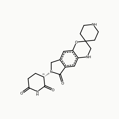 O=C1CC[C@H](N2Cc3cc4c(cc3C2=O)NCC2(CCNCC2)O4)C(=O)N1